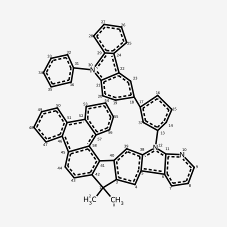 CC1(C)c2cc3c4cccnc4n(-c4cccc(-c5ccc6c(c5)c5ccccc5n6-c5ccccc5)c4)c3cc2-c2c1ccc1c3ccccc3c3ccccc3c21